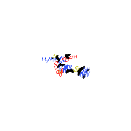 Nc1nc(C(=NOC2(C(=O)O)CC2)C(=O)N[C@@H]2C(=O)N(S(=O)(=O)[O-])C2Cn2ncc(CSC3Cn4cnc[n+]4C3)n2)cs1